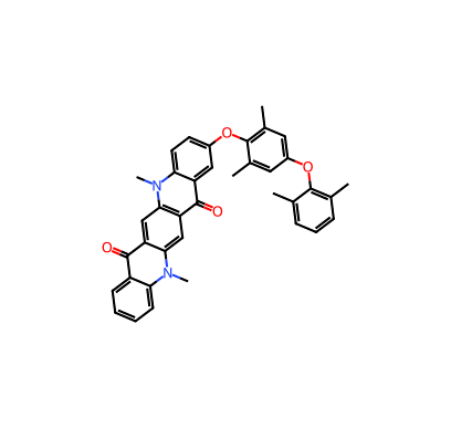 Cc1cccc(C)c1Oc1cc(C)c(Oc2ccc3c(c2)c(=O)c2cc4c(cc2n3C)c(=O)c2ccccc2n4C)c(C)c1